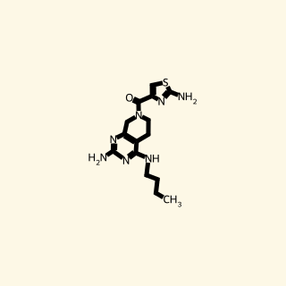 CCCCNc1nc(N)nc2c1CCN(C(=O)c1csc(N)n1)C2